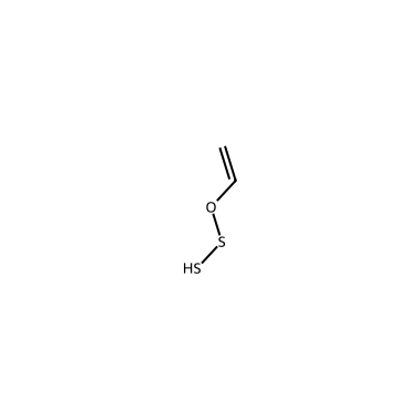 C=COSS